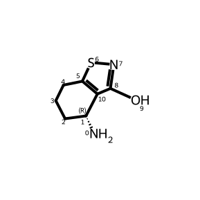 N[C@@H]1CCCc2snc(O)c21